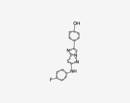 Oc1ccc(-c2cn3nc(Nc4ccc(F)cc4)sc3n2)cc1